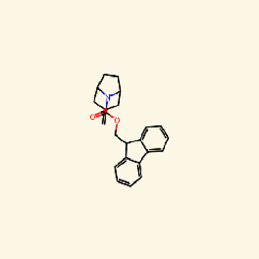 C=C1CC2CCC(C1)N2C(=O)OCC1c2ccccc2-c2ccccc21